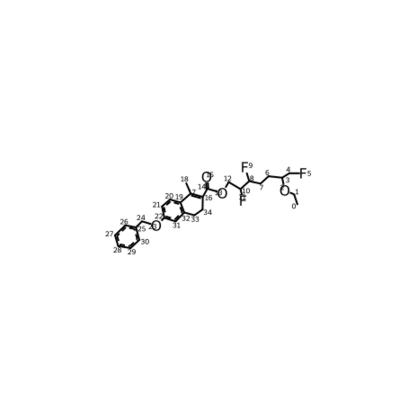 CCOC(CF)CCC(F)C(F)COC(=O)C1=C(C)c2ccc(OCc3ccccc3)cc2CC1